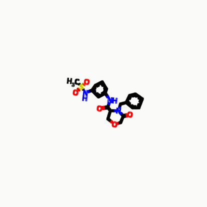 CS(=O)(=O)Nc1cccc(NC(=O)C2COCC(=O)N2Cc2ccccc2)c1